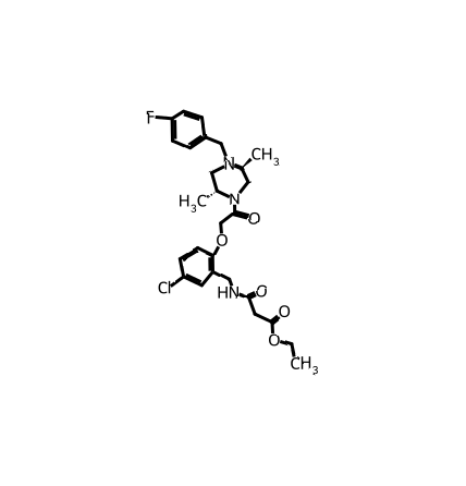 CCOC(=O)CC(=O)NCc1cc(Cl)ccc1OCC(=O)N1C[C@H](C)N(Cc2ccc(F)cc2)C[C@H]1C